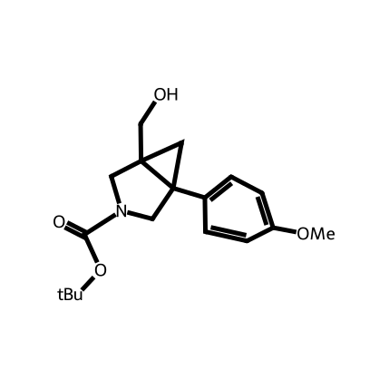 COc1ccc(C23CN(C(=O)OC(C)(C)C)CC2(CO)C3)cc1